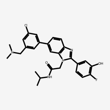 CC(C)NC(=O)Cn1c(-c2ccc(F)c(O)c2)nc2ccc(-c3cc(Cl)cc(CN(C)C)c3)cc21